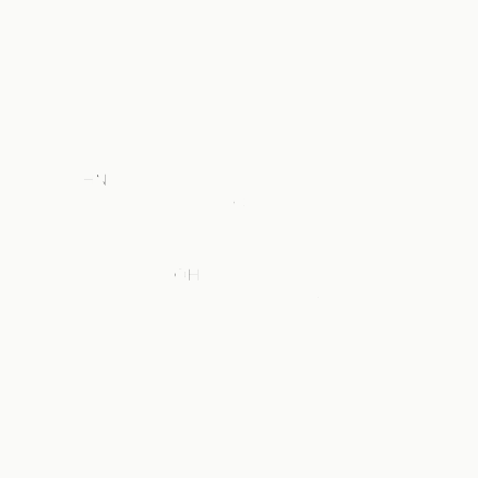 OC1CNCCC1Oc1cccc2ccccc12